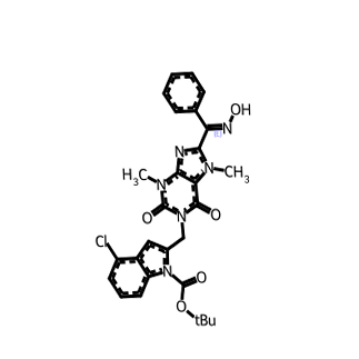 Cn1c(/C(=N/O)c2ccccc2)nc2c1c(=O)n(Cc1cc3c(Cl)cccc3n1C(=O)OC(C)(C)C)c(=O)n2C